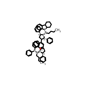 CCCCN(P(c1ccccc1)c1cccc2c(C3C[C@@H](c4ccccc4)P(N(CCCC)P4c5ccccc5C5CCCCC54)[C@@H]3c3ccccc3)cccc12)P1[C@H](c2ccccc2)CC[C@H]1c1ccccc1